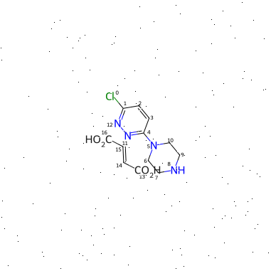 Clc1ccc(N2CCNCC2)nn1.O=C(O)/C=C/C(=O)O